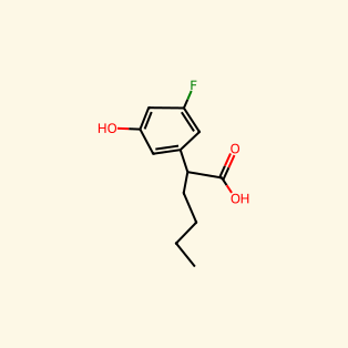 CCCCC(C(=O)O)c1cc(O)cc(F)c1